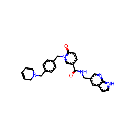 O=C(NCc1cnc2[nH]ccc2c1)c1ccc(=O)n(Cc2ccc(CN3C=CC=CC3)cc2)c1